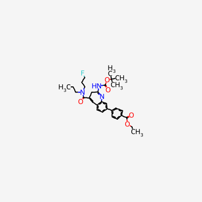 CCCN(CCCF)C(=O)C1=Cc2ccc(-c3ccc(C(=O)OCC)cc3)cc2N=C(NC(=O)OC(C)(C)C)C1